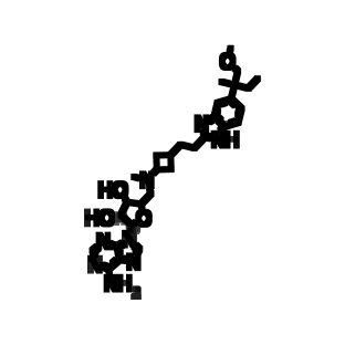 CCC(C)(COC)c1ccc2[nH]c(CCC3CC(N(C)CC4O[C@@H](n5cnc6c(N)ncnc65)[C@H](O)C4O)C3)nc2c1